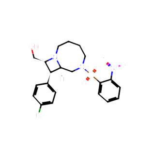 O=[N+]([O-])c1ccccc1S(=O)(=O)N1CCCCN2[C@H](CO)[C@H](c3ccc(Br)cc3)[C@@H]2C1